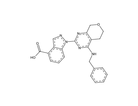 O=C(O)c1cccc2c1cnn2-c1nc2c(c(NCc3ccccc3)n1)CCOC2